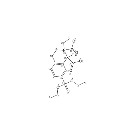 CCOP(=O)(OCC)c1ccc2c(c1)C(C)(C(=O)O)[N+](CC)(C(=O)[O-])CC2